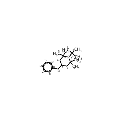 CC(C)(C)P1C(C)(C)CC(Cc2ccccc2)CC1(C)C